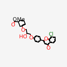 COC(=O)C1C=CC=C(OCC(O)COc2ccc(-c3cc(=O)c4cccc(Cl)c4o3)cc2)C1